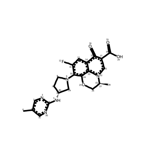 Cc1cnc(N[C@@H]2CCN(c3c(F)cc4c(=O)c(C(=O)O)cn5c4c3OC[C@@H]5C)C2)nc1